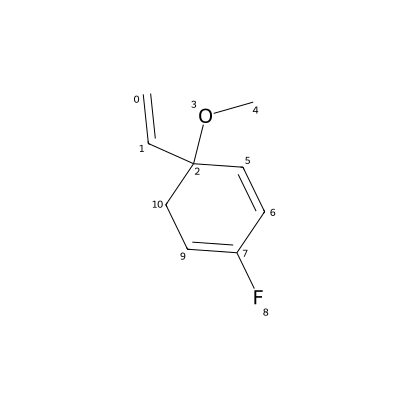 C=CC1(OC)C=CC(F)=CC1